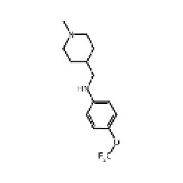 CN1CCC(CNc2ccc(OC(F)(F)F)cc2)CC1